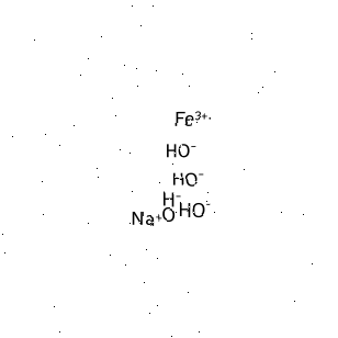 [Fe+3].[Na+].[OH-].[OH-].[OH-].[OH-]